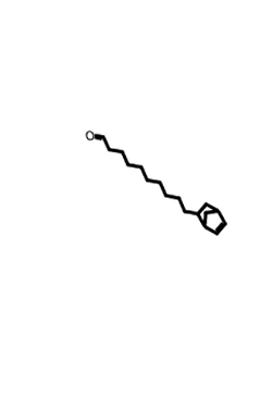 O=CCCCCCCCCCC1CC2C=CC1C2